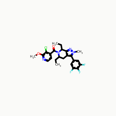 CCC1Cc2c(nn(C)c2-c2cc(F)c(F)c(F)c2)C(CC)N1C(=O)c1ccnc(OC)c1Cl